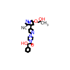 CC(O)COc1cc(-c2ccc(N3CCN(C(=O)C(O)c4ccccc4)CC3)nc2)c2c(C#N)cnn2c1